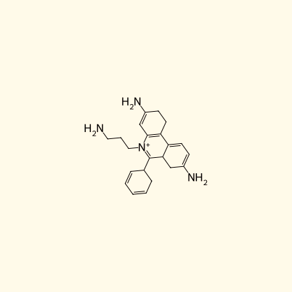 NCCC[N+]1=C(C2C=CC=CC2)C2CC(N)=CC=C2C2=C1C=C(N)CC2